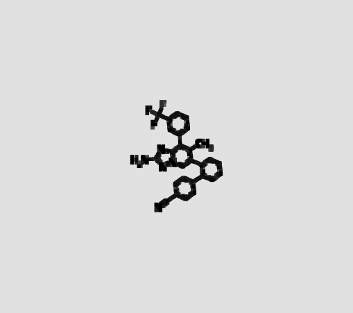 Cc1c(-c2ccccc2-c2ccc(C#N)cc2)cn2nc(N)nc2c1-c1cccc(C(F)(F)F)c1